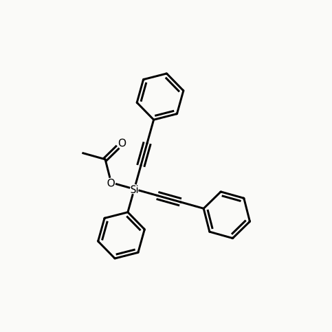 CC(=O)O[Si](C#Cc1ccccc1)(C#Cc1ccccc1)c1ccccc1